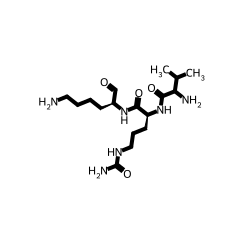 CC(C)C(N)C(=O)N[C@@H](CCCNC(N)=O)C(=O)N[C@H](C=O)CCCCN